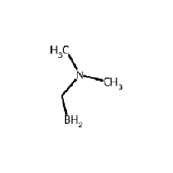 BCN(C)C